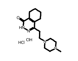 CN1CCN(CCc2n[nH]c(=O)c3c2CCCC3)CC1.Cl.Cl